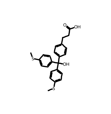 CSc1ccc(C(O)(c2ccc(CCC(=O)O)cc2)c2ccc(SC)cc2)cc1